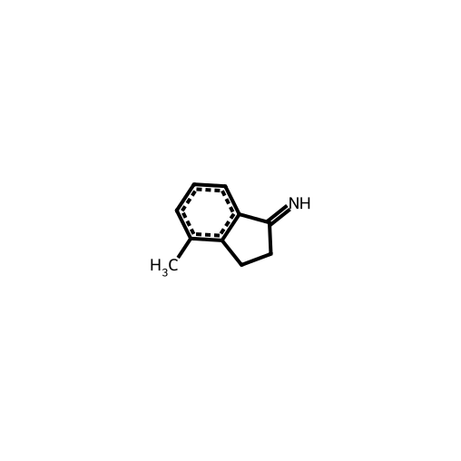 Cc1cccc2c1CCC2=N